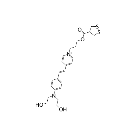 O=C(OCCC[n+]1ccc(/C=C/c2ccc(N(CCO)CCO)cc2)cc1)C1CSSC1